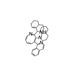 C1=CN=C(C2NCCC3CCCC=C32)C(N2CCCC3CCCCC32)=C(c2nccc3ccccc23)C=C1